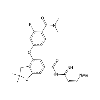 CN/C=C\C(=N)NC(=O)c1cc(Oc2ccc(C(=O)N(C)C)c(F)c2)c2c(c1)OC(C)(C)C2